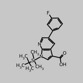 CC(C)(C)[Si](C)(C)n1cc(C(=O)O)c2cc(-c3cccc(F)c3)cnc21